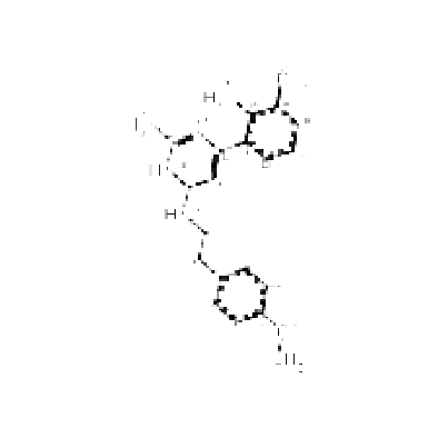 COc1ccc(CCNC2C=C(c3cccc(C)c3C)N=C(N)N2)cc1